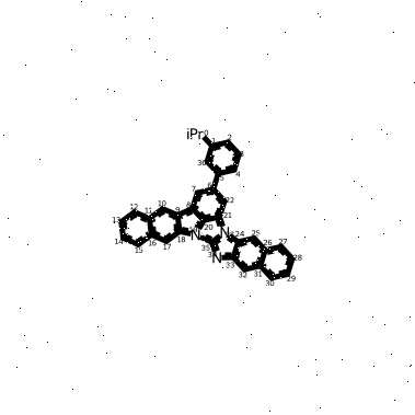 CC(C)c1cccc(-c2cc3c4cc5ccccc5cc4n4c3c(c2)n2c3cc5ccccc5cc3nc24)c1